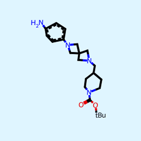 CC(C)(C)OC(=O)N1CCC(CN2CC3(C2)CN(c2ccc(N)cc2)C3)CC1